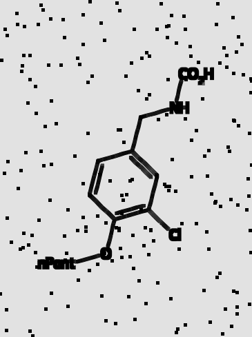 CCCCCOc1ccc(CNC(=O)O)cc1Cl